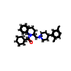 Cc1ccc(C)c(C2CCN(CC3CCc4ccccc4N3C(=O)C3CCCCC3)CC2)c1